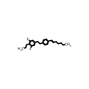 CCCCC/C=C/c1ccc(CCc2cc(F)c(CCC)c(F)c2)cc1